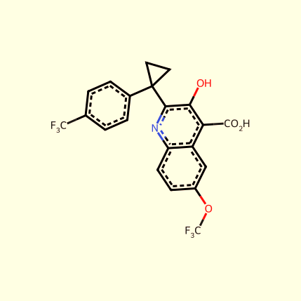 O=C(O)c1c(O)c(C2(c3ccc(C(F)(F)F)cc3)CC2)nc2ccc(OC(F)(F)F)cc12